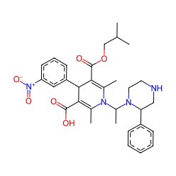 CC1=C(C(=O)O)C(c2cccc([N+](=O)[O-])c2)C(C(=O)OCC(C)C)=C(C)N1C(C)N1CCNCC1c1ccccc1